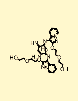 N=C1C=C(N)/C(=N\c2c(OCCOCCO)nn3ccccc23)N/C1=N\c1c(OCCOCCO)nn2ccccc12